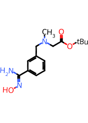 CN(CC(=O)OC(C)(C)C)Cc1cccc(/C(N)=N/O)c1